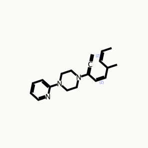 C=C=C(/C=C\C(C)/C=C\C)N1CCN(c2ccccn2)CC1